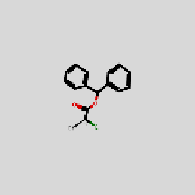 CC[C@H](Cl)C(=O)OC(c1ccccc1)c1ccccc1